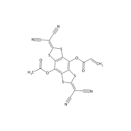 C=CC(=O)Oc1c2c(c(OC(C)=O)c3c1SC(=C(C#N)C#N)S3)SC(=C(C#N)C#N)S2